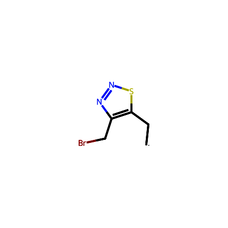 [CH2]Cc1snnc1CBr